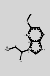 COc1ccc2ncn([C@@H](C)CO)c2n1